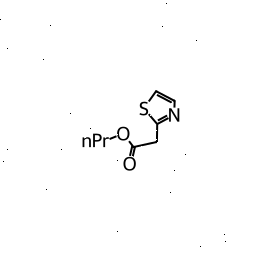 CCCOC(=O)Cc1nccs1